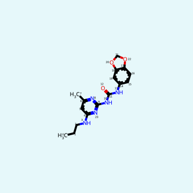 CCCNc1cc(C)nc(NC(=O)Nc2ccc3c(c2)OCO3)n1